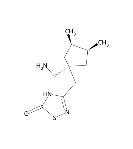 C[C@@H]1C[C@](CN)(Cc2nsc(=O)[nH]2)C[C@@H]1C